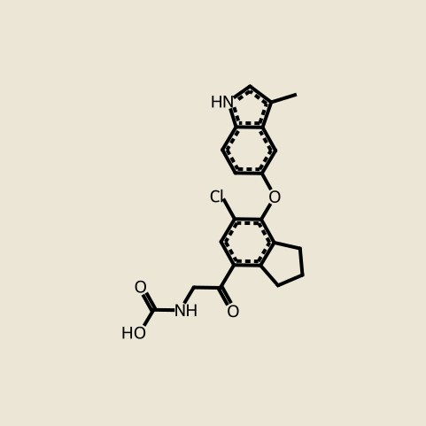 Cc1c[nH]c2ccc(Oc3c(Cl)cc(C(=O)CNC(=O)O)c4c3CCC4)cc12